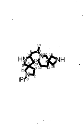 CC(C)N1CCC2(CNC(CC(C)N3CCCC4(CNC4)C3)C2)C1